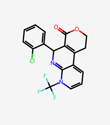 O=C1OCCC2=C1C(c1ccccc1Cl)N=C1C2=CC=CN1C(F)(F)F